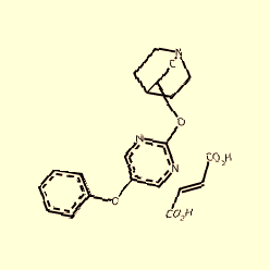 O=C(O)C=CC(=O)O.c1ccc(Oc2cnc(OC3CN4CCC3CC4)nc2)cc1